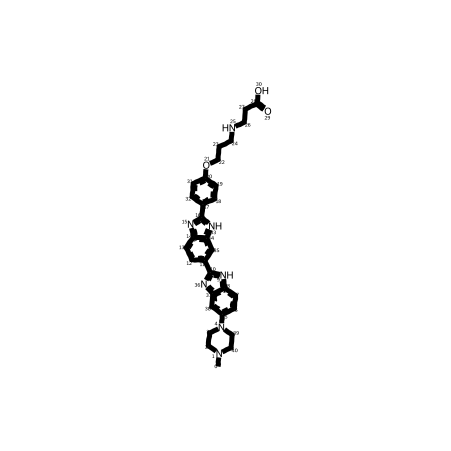 CN1CCN(c2ccc3[nH]c(-c4ccc5nc(-c6ccc(OCCCNCCC(=O)O)cc6)[nH]c5c4)nc3c2)CC1